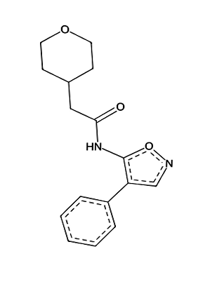 O=C(CC1CCOCC1)Nc1oncc1-c1ccccc1